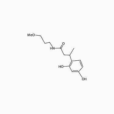 COCCCNC(=O)CC(C)c1ccc(O)cc1O